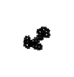 c1ccc2c(c1)Oc1cccc3nc(-n4c5ccc(-c6ccc7c(c6)c6ccccc6n7-c6cccc7ccc8ccccc8c67)cc5c5c6ccccc6ccc54)nc-2c13